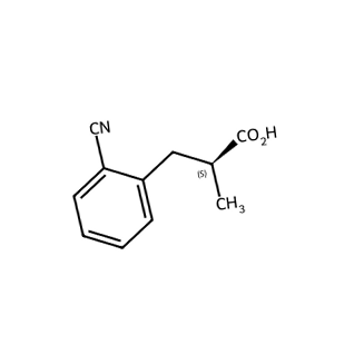 C[C@@H](Cc1ccccc1C#N)C(=O)O